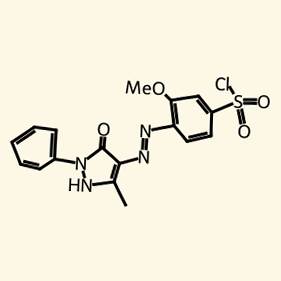 COc1cc(S(=O)(=O)Cl)ccc1N=Nc1c(C)[nH]n(-c2ccccc2)c1=O